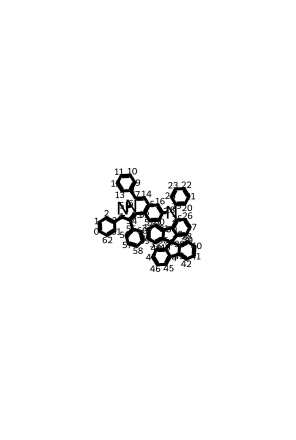 c1ccc(-c2nn3c(-c4ccccc4)cc4cc(N(c5ccccc5)c5cccc6c5-c5ccccc5C65c6ccccc6-c6ccccc65)ccc4c3c2-c2ccccc2)cc1